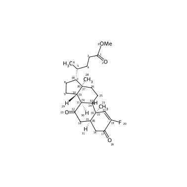 COC(=O)CCC(C)[C@H]1CC[C@H]2[C@@H]3C(=O)C[C@@H]4CC(=O)C(F)=C[C@]4(C)[C@H]3CC[C@]12C